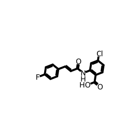 O=C(/C=C/c1ccc(F)cc1)Nc1cc(Cl)ccc1C(=O)O